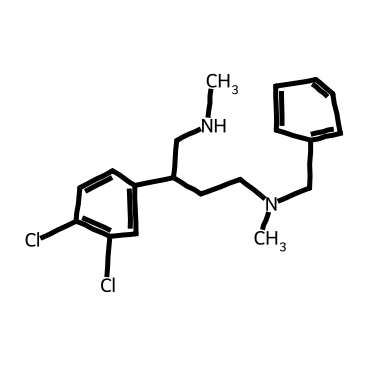 CNCC(CCN(C)Cc1ccccc1)c1ccc(Cl)c(Cl)c1